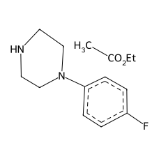 CCOC(C)=O.Fc1ccc(N2CCNCC2)cc1